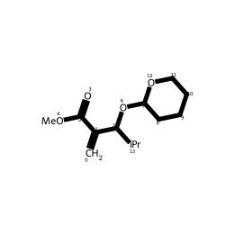 C=C(C(=O)OC)C(OC1CCCCO1)C(C)C